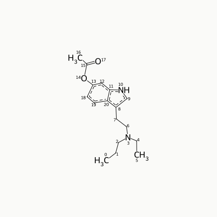 CCCN(CC)CCc1c[nH]c2cc(OC(C)=O)ccc12